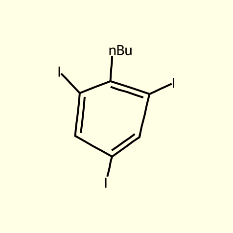 CCCCc1c(I)cc(I)cc1I